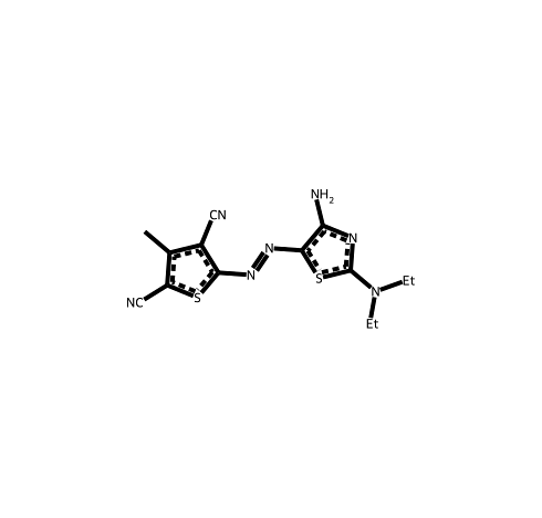 CCN(CC)c1nc(N)c(/N=N/c2sc(C#N)c(C)c2C#N)s1